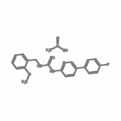 CC(=O)O.COc1ccccc1CNC(=N)Nc1ccc(-c2ccc(F)cc2)cn1